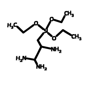 CCO[Si](CC(N)C(N)N)(OCC)OCC